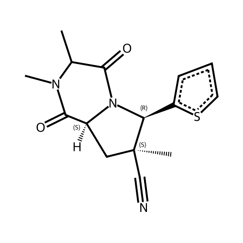 CC1C(=O)N2[C@@H](c3cccs3)[C@@](C)(C#N)C[C@H]2C(=O)N1C